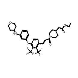 CCOC(=O)CC1CCN(C(=O)C=Cc2ccc(Sc3cccc(NC4CCOCC4)c3)c(C(F)(F)F)c2C(F)(F)F)CC1